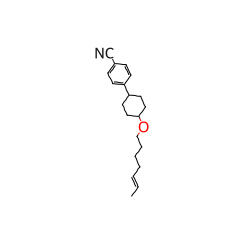 C/C=C/CCCCOC1CCC(c2ccc(C#N)cc2)CC1